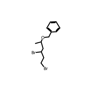 CC(CC(Br)CCBr)OCc1ccccc1